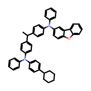 CC(c1ccc(N(c2ccccc2)c2ccc(C3CCCCC3)cc2)cc1)c1ccc(N(c2ccccc2)c2ccc3oc4ccccc4c3c2)cc1